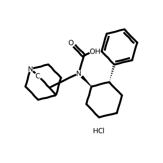 Cl.O=C(O)N(C1CN2CCC1CC2)[C@@H]1CCCC[C@H]1c1ccccc1